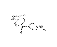 CNc1ccc(C(=O)C2C=CC(NC)(OC)C=C2)cc1